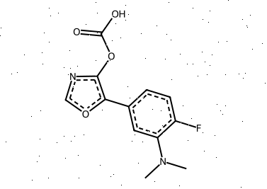 CN(C)c1cc(-c2ocnc2OC(=O)O)ccc1F